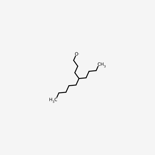 CCCCCC(CCCC)CCC[O]